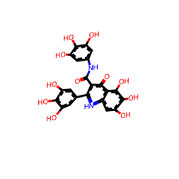 O=C(Nc1cc(O)c(O)c(O)c1)c1c(-c2cc(O)c(O)c(O)c2)[nH]c2cc(O)c(O)c(O)c2c1=O